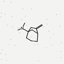 C=C1CC2(N(C)C)CCCC1C2